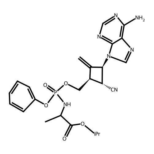 C=C1[C@@H](n2cnc3c(N)ncnc32)[C@H](C#N)[C@H]1COP(=O)(NC(C)C(=O)OC(C)C)Oc1ccccc1